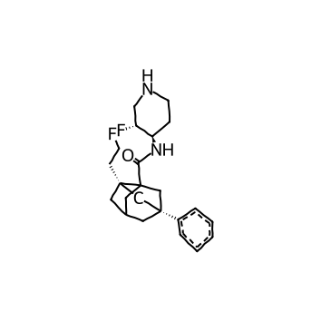 O=C(N[C@@H]1CCNC[C@H]1F)C12CC3C[C@](c4ccccc4)(C1)C[C@@]2(CCF)C3